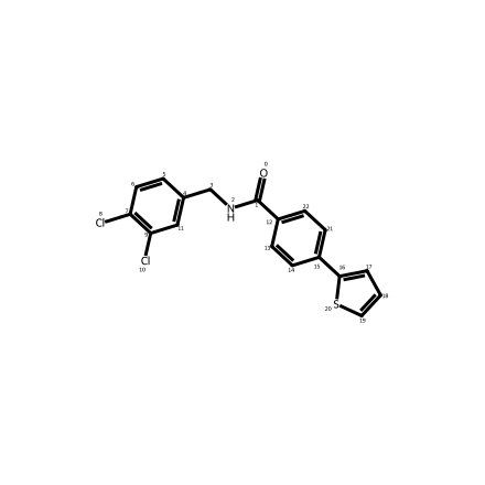 O=C(NCc1ccc(Cl)c(Cl)c1)c1ccc(-c2cccs2)cc1